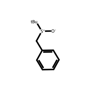 CC(C)(C)[S+]([O-])Cc1ccccc1